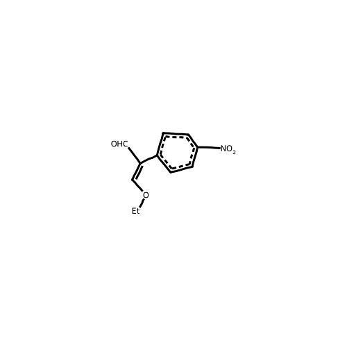 CCO/C=C(/C=O)c1ccc([N+](=O)[O-])cc1